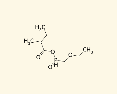 CCOC[PH](=O)OC(=O)C(C)CC